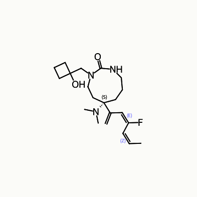 C=C(/C=C(F)\C=C/C)[C@]1(N(C)C)CCCNC(=O)N(CC2(O)CCC2)CC1